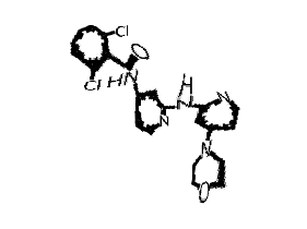 O=C(Nc1ccnc(Nc2cc(N3CCOCC3)ccn2)c1)c1c(Cl)cccc1Cl